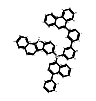 c1ccc(-c2ccc(N(c3cccc(-c4cccc(-c5cc6ccccc6c6ccccc56)c4)c3)c3ccc4oc5c6ccccc6ccc5c4c3)c3ccccc23)cc1